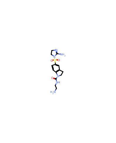 NCCNC(=O)N1CCc2cc(S(=O)(=O)N3CCN=C3N)ccc21